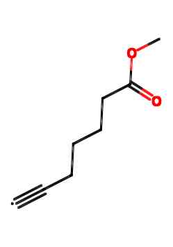 [C]#CCCCCC(=O)OC